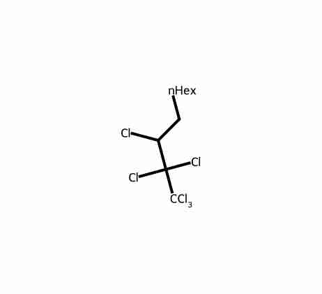 CCCCCCCC(Cl)C(Cl)(Cl)C(Cl)(Cl)Cl